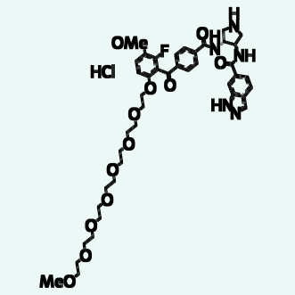 COCCOCCOCCOCCOCCOCCOCCOc1ccc(OC)c(F)c1C(=O)c1ccc(C(=O)N[C@@H]2CNC[C@H]2NC(=O)c2ccc3cn[nH]c3c2)cc1.Cl